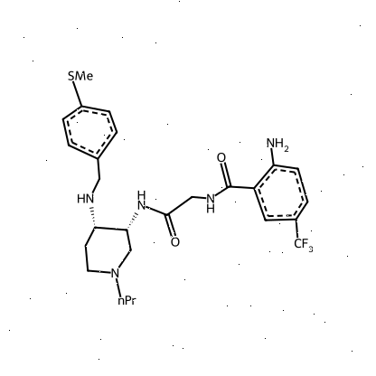 CCCN1CC[C@H](NCc2ccc(SC)cc2)[C@H](NC(=O)CNC(=O)c2cc(C(F)(F)F)ccc2N)C1